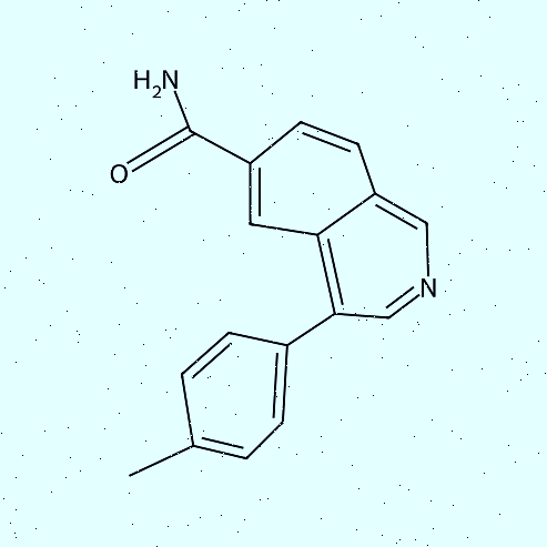 Cc1ccc(-c2cncc3ccc(C(N)=O)cc23)cc1